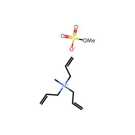 C=CC[N+](C)(CC=C)CC=C.COS(=O)(=O)[O-]